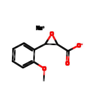 COc1ccccc1C1OC1C(=O)[O-].[Na+]